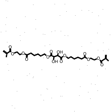 C=C(C)C(=O)OCCOC(=O)CCCCCOC(=O)C(O)C(O)C(=O)OCCCCCC(=O)OCCOC(=O)C(=C)C